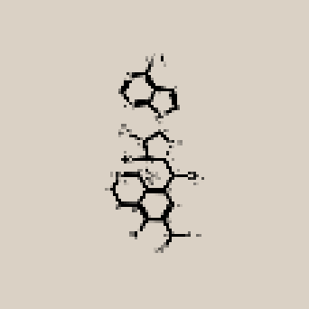 Cc1ncnc2c1ccn2[C@@H]1O[C@H]([C@@H](C)c2cc(C(F)F)c(F)c3c2CNCC3)[C@@](C)(O)[C@H]1O